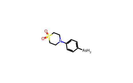 O=S1(=O)CCN(c2ccc([AsH2])cc2)CC1